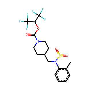 Cc1ccccc1N(CC1CCN(C(=O)OC(C(F)(F)F)C(F)(F)F)CC1)[SH](=O)=O